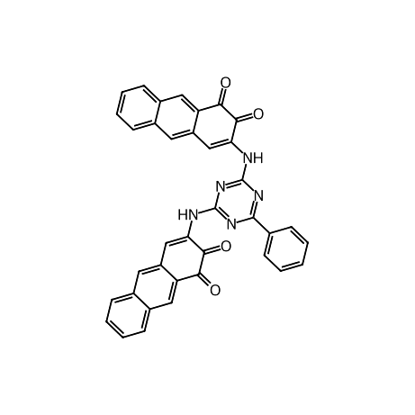 O=C1C(=O)c2cc3ccccc3cc2C=C1Nc1nc(NC2=Cc3cc4ccccc4cc3C(=O)C2=O)nc(-c2ccccc2)n1